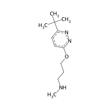 CNCCCOc1ccc(C(C)(C)C)nn1